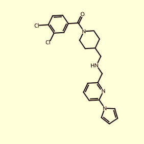 O=C(c1ccc(Cl)c(Cl)c1)N1CCC(CNCc2cccc(-n3cccc3)n2)CC1